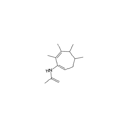 C=C(C)NC1=CCC(C)C(C)C(C)=C1C